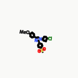 COc1ccc(-c2cn(-c3ccc(Cl)cc3)c(-c3ccc(S(C)(=O)=O)cc3)n2)cc1